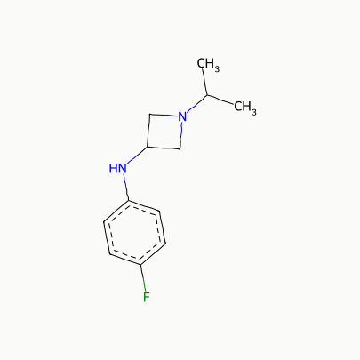 CC(C)N1CC(Nc2ccc(F)cc2)C1